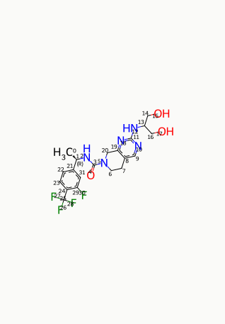 C[C@@H](NC(=O)N1CCc2cnc(NC(CO)CO)nc2C1)c1ccc(C(F)(F)F)c(F)c1